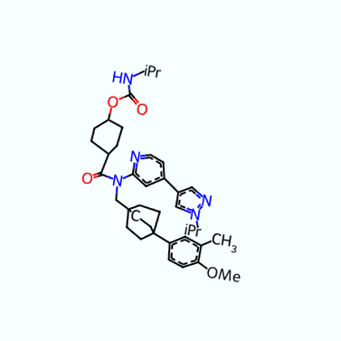 COc1ccc(C23CCC(CN(C(=O)C4CCC(OC(=O)NC(C)C)CC4)c4cc(-c5cnn(C(C)C)c5)ccn4)(CC2)CC3)cc1C